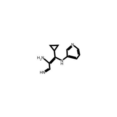 N=C/C(N)=C(\Nc1cccnc1)C1CC1